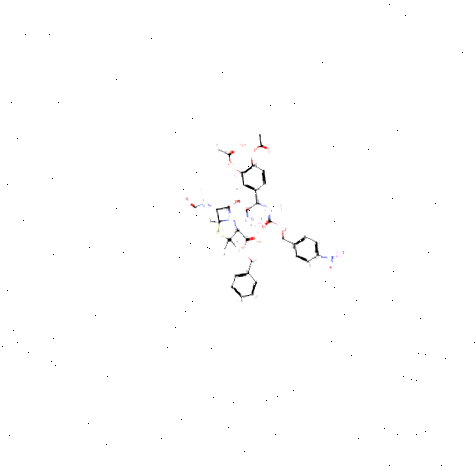 CC(=O)Oc1ccc(C(NC(=O)OCc2ccc([N+](=O)[O-])cc2)C(=O)N[C@@]2(C(=O)OCc3ccccc3)N3C(=O)[C@H](NC=O)[C@H]3SC2(C)C)cc1OC(C)=O